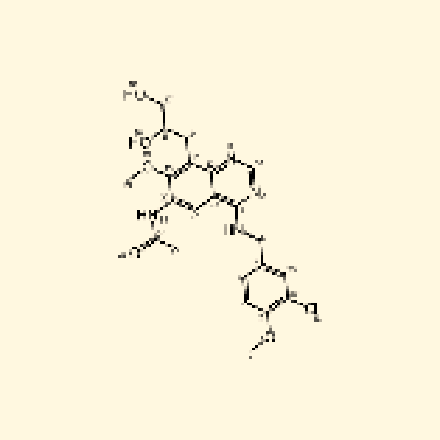 COc1ccc(CNc2ncnc3c(CC(O)CO)c(OC)c(NC(C)=O)cc23)cc1Cl